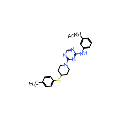 CC(=O)Nc1cccc(Nc2ncnc(N3CCC(Sc4ccc(C)cc4)CC3)n2)c1